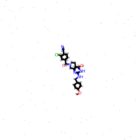 COc1ccc(CNc2nc3c(c(=O)[nH]2)CCN(C(=O)c2ccc(C#N)c(Cl)c2)C3)cc1